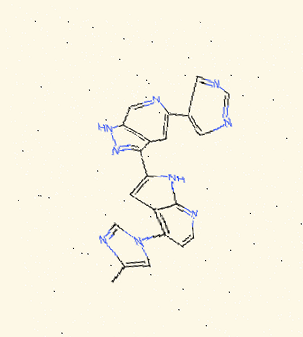 Cc1cn(-c2ccnc3[nH]c(-c4n[nH]c5cnc(-c6cncnc6)cc45)cc23)cn1